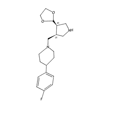 Fc1ccc(C2CCN(C[C@@H]3CNC[C@@H]3C3OCCO3)CC2)cc1